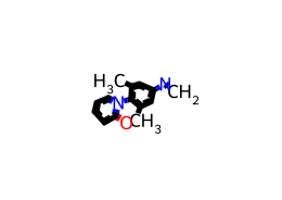 C=Nc1cc(C)c(-n2ccccc2=O)c(C)c1